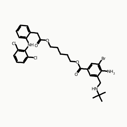 CC(C)(C)NCc1cc(C(=O)OCCCCCOC(=O)Cc2ccccc2Nc2c(Cl)cccc2Cl)cc(Br)c1N